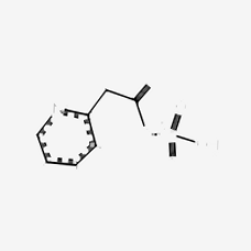 O=C(Cc1ccccn1)[O][Cr](=[O])(=[O])[OH]